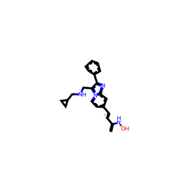 C=C(/C=C/c1ccn2c(CNCC3CC3)c(-c3ccccc3)nc2c1)NO